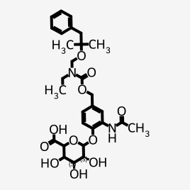 CCN(COC(C)(C)Cc1ccccc1)C(=O)OCc1ccc(OC2OC(C(=O)O)C(O)[C@H](O)[C@@H]2O)c(NC(C)=O)c1